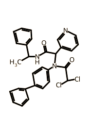 CC(NC(=O)C(c1cccnc1)N(C(=O)C(Cl)Cl)c1ccc(-c2ccccc2)cc1)c1ccccc1